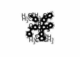 CC(C)(C)c1ccc(Nc2cc3oc4ccccc4c3cc2-c2c3c4c(c5cc6c(cc5n4-c4cc5c(-c7ccccc7)coc5cc4B3)C(C)(C)CCC6(C)C)c3sc4ccccc4c23)cc1